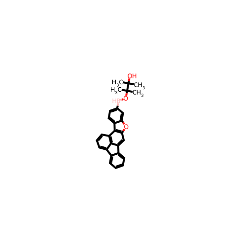 CC(C)(O)C(C)(C)OBc1ccc2c(c1)oc1cc3c4c(cccc4c12)-c1ccccc1-3